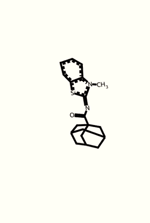 Cn1/c(=N/C(=O)C23CC4CC(CC(C4)C2)C3)sc2ccccc21